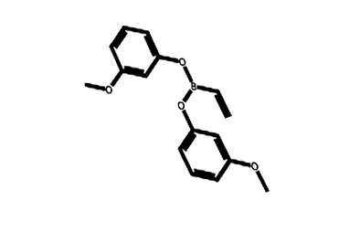 C=CB(Oc1cccc(OC)c1)Oc1cccc(OC)c1